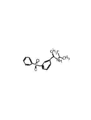 CC(C)NC(=O)c1cccc(S(=O)(=O)c2ccccc2)c1